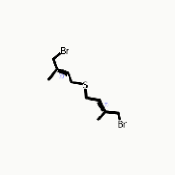 C/C(=C\CSC/C=C(\C)CBr)CBr